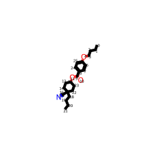 CCCCOc1ccc(C(=O)OC2CCC(C#N)(CCCC)CC2)cc1